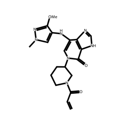 C=CC(=O)N1CCCC(n2cc(Nc3cn(C)nc3OC)c3nc[nH]c3c2=O)C1